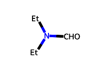 [CH2]CN(C=O)CC